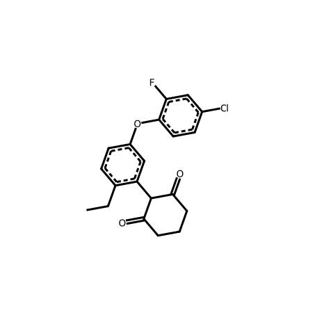 CCc1ccc(Oc2ccc(Cl)cc2F)cc1C1C(=O)CCCC1=O